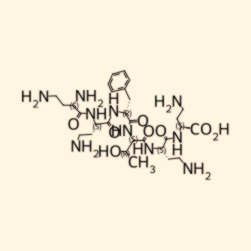 C[C@@H](O)[C@H](NC(=O)[C@@H](Cc1ccccc1)NC(=O)[C@H](CCN)NC(=O)[C@@H](N)CCN)C(=O)N[C@@H](CCN)C(=O)N[C@@H](CCN)C(=O)O